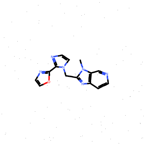 Cn1c(Cn2ccnc2-c2ncco2)nc2ccncc21